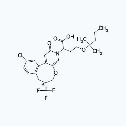 CCCC(C)(C)OCCC(C(=O)O)n1cc2c(cc1=O)-c1cc(Cl)ccc1C[C@@H](C(F)(F)F)CO2